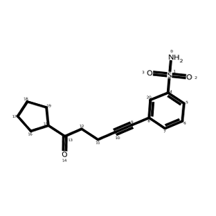 NS(=O)(=O)c1cccc(C#CCCC(=O)C2CCCC2)c1